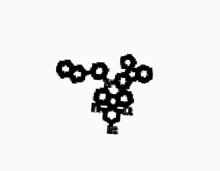 CCC1CC(CC)C2(c3ccccc3-c3c(N(c4cccc(-c5ccc6ccccc6c5)c4)c4ccc5c(c4)C4(CCCC4)c4ccccc4-5)cccc32)C(CC)C1